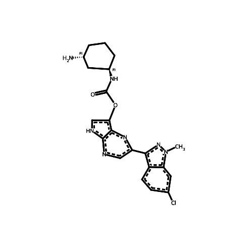 Cn1nc(-c2cnc3[nH]cc(OC(=O)N[C@@H]4CCC[C@@H](N)C4)c3n2)c2ccc(Cl)cc21